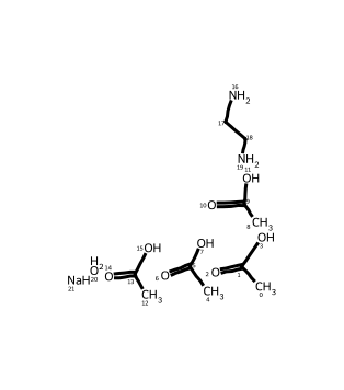 CC(=O)O.CC(=O)O.CC(=O)O.CC(=O)O.NCCN.O.[NaH]